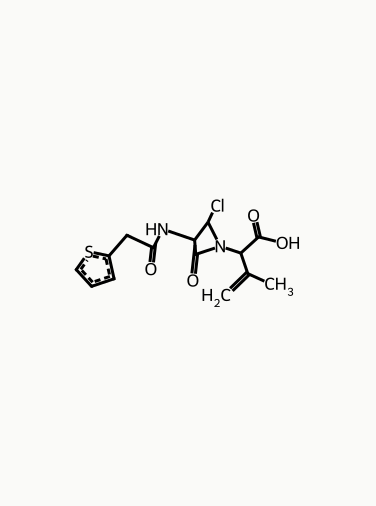 C=C(C)C(C(=O)O)N1C(=O)C(NC(=O)Cc2cccs2)C1Cl